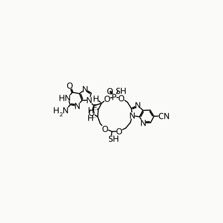 N#Cc1cnc2c(c1)nc1n2CCOC(S)OC[C@H]2O[C@@H](n3cnc4c(=O)[nH]c(N)nc43)[C@H](OP(=O)(S)OC1)[C@@H]2F